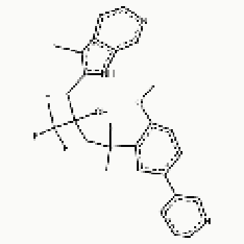 COc1ccc(-c2cccnc2)cc1C(C)(C)CC(O)(Cc1[nH]c2cnccc2c1C)C(F)(F)F